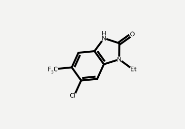 CCn1c(=O)[nH]c2cc(C(F)(F)F)c(Cl)cc21